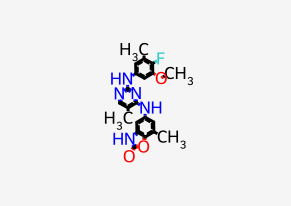 COc1cc(Nc2ncc(C)c(Nc3cc(C)c4oc(=O)[nH]c4c3)n2)cc(C)c1F